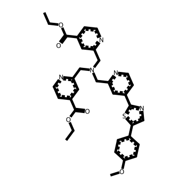 CCOC(=O)c1ccnc(CN(Cc2cc(C(=O)OCC)ccn2)Cc2cc(-c3ncc(-c4ccc(OC)cc4)s3)ccn2)c1